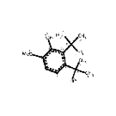 CCCC(C)(C)c1ccc(OC)c(O)c1C(C)(C)CCC